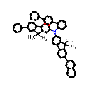 CC1(C)c2cc(-c3ccccc3)ccc2-c2ccc(N(c3ccc4c(c3)C(C)(C)c3cc(-c5ccc6ccccc6c5)ccc3-4)c3ccccc3-c3ccc(-c4ccccc4)cc3)cc21